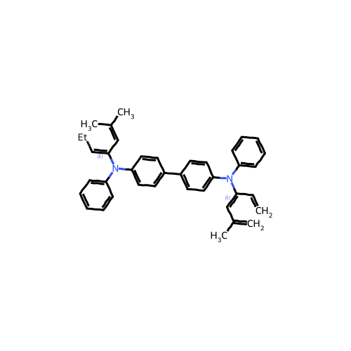 C=C/C(=C\C(=C)C)N(c1ccccc1)c1ccc(-c2ccc(N(/C(C=C(C)C)=C/CC)c3ccccc3)cc2)cc1